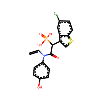 C=CN(C(=O)C(c1csc2ccc(Cl)cc12)P(=O)(O)O)c1ccc(O)cc1